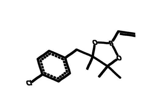 C=CB1OC(C)(C)C(C)(Cc2ccc(Cl)cc2)O1